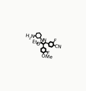 CCOc1c(-c2ccc(OC)c(F)c2)c(-c2ccc(C#N)c(F)c2)nn1C1CCCC(N)C1